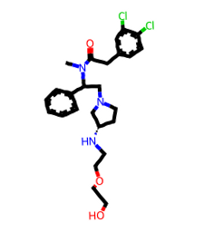 CN(C(=O)Cc1ccc(Cl)c(Cl)c1)C(CN1CC[C@H](NCCOCCO)C1)c1ccccc1